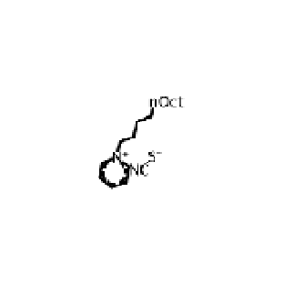 CCCCCCCCCCCC[n+]1ccccc1.N#C[S-]